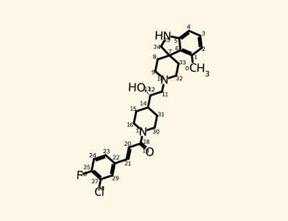 Cc1cccc2c1C1(CCN(C[C@@H](O)C3CCN(C(=O)/C=C/c4ccc(F)c(Cl)c4)CC3)CC1)CN2